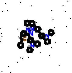 c1ccc(-c2cc3ccc4nc(-n5c6cc(-c7ccc8c9ccccc9n(-c9ccccc9)c8c7)ccc6c6ccc7ccccc7c65)nc(-c5ccc6c(c5)c5ccccc5n6-c5ccccc5)c4c3s2)cc1